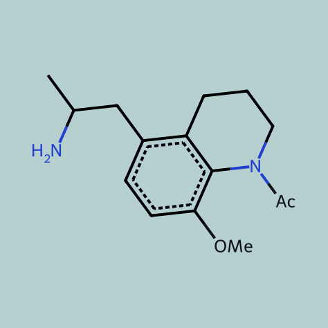 COc1ccc(CC(C)N)c2c1N(C(C)=O)CCC2